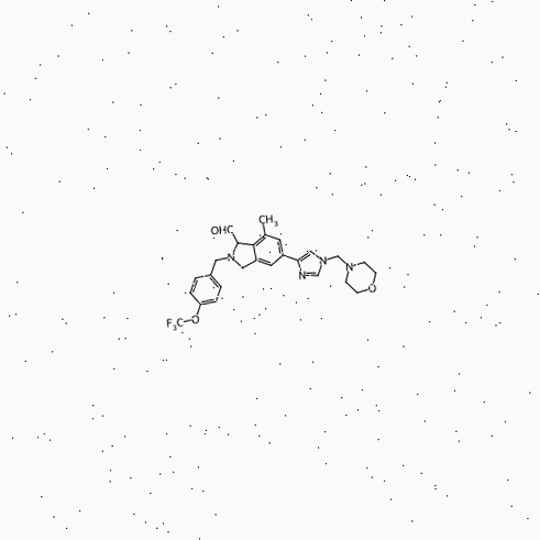 Cc1cc(-c2cn(CN3CCOCC3)cn2)cc2c1C(C=O)N(Cc1ccc(OC(F)(F)F)cc1)C2